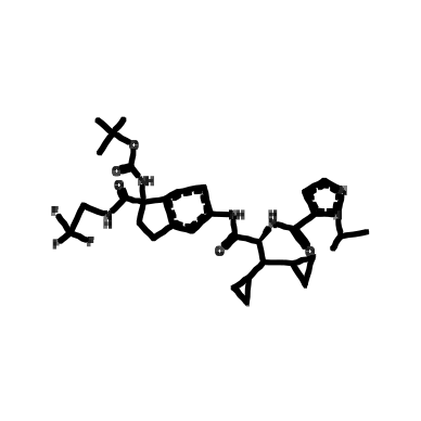 CC(C)n1nccc1C(=O)N[C@H](C(=O)Nc1ccc2c(c1)CCC2(NC(=O)OC(C)(C)C)C(=O)NCC(F)(F)F)C(C1CC1)C1CC1